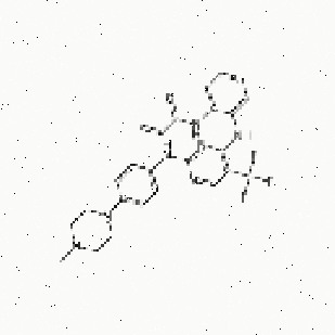 C=CC(=O)Nc1ccccc1Nc1nc(Nc2ccc(N3CCN(C)CC3)cc2)ncc1C(F)(F)F